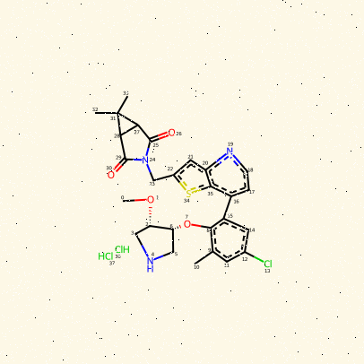 CO[C@H]1CNC[C@H]1Oc1c(C)cc(Cl)cc1-c1ccnc2cc(CN3C(=O)C4C(C3=O)C4(C)C)sc12.Cl.Cl